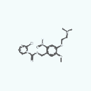 COc1cc(COC(=O)n2ccnc2Cl)c([N+](=O)[O-])cc1OCCN(C)C